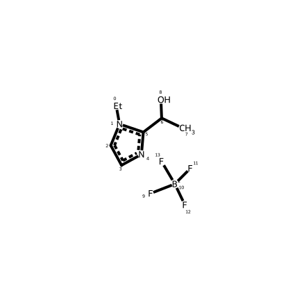 CCn1ccnc1C(C)O.F[B-](F)(F)F